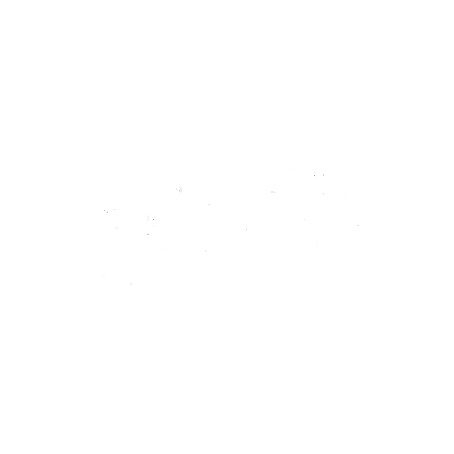 COc1ccc2c(Oc3ccc(S(=N)(=O)NC4CCCc5cccnc54)cc3)ccnc2c1